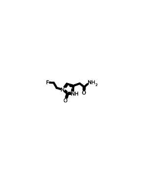 NC(=O)Cc1cn(CCF)c(=O)[nH]1